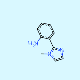 Cn1ccnc1-c1ccccc1N